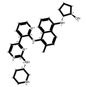 Cc1ccc2c(N[C@@H]3CCC[C@H]3O)cccc2c1Oc1ncccc1-c1ccnc(N[C@H]2CCCNC2)n1